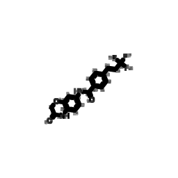 O=C1COc2cc(NC(=O)c3ccc(/C=C/C(F)(F)F)cc3)ccc2N1